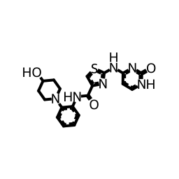 O=C(Nc1ccccc1N1CCC(O)CC1)c1csc(Nc2cc[nH]c(=O)n2)n1